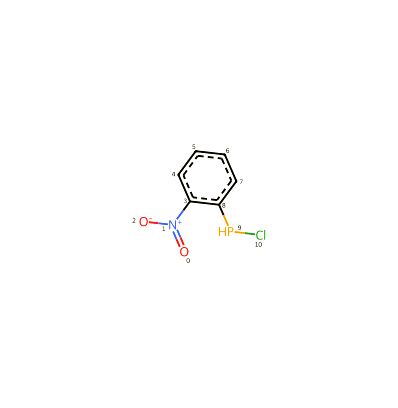 O=[N+]([O-])c1ccccc1PCl